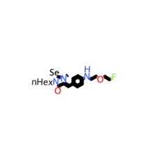 CCCCCCN1C(=O)C(=Cc2ccc(NCCOCCF)cc2)N(C)C1=[Se]